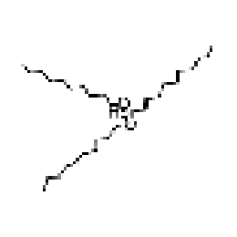 CCCCCCCCC=C[SiH](OCCCCCCCCCC)OCCCCCCCCCC